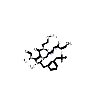 C\C=C/C(Cl)=C\C=C\CN1C(C(=O)N(C)CCOC)=C(N(C)C=O)N(C)C1Cc1cccc(CC(F)(F)F)c1